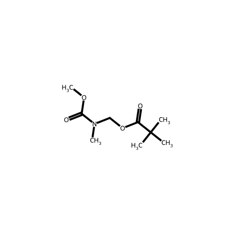 COC(=O)N(C)COC(=O)C(C)(C)C